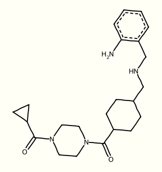 Nc1ccccc1CNCC1CCC(C(=O)N2CCN(C(=O)C3CC3)CC2)CC1